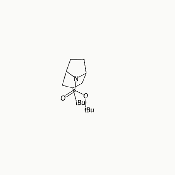 CCC(C)C1CC2CCC(C1)N2C(=O)OC(C)(C)C